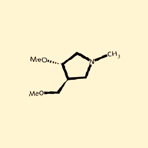 COC[C@@H]1CN(C)C[C@H]1OC